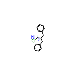 ClCC(Cc1ccccc1)Cc1ccccc1.N